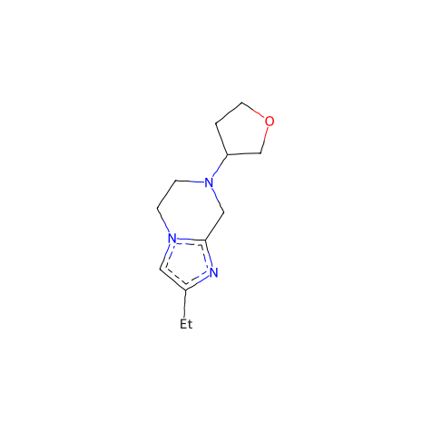 CCc1cn2c(n1)CN(C1CCOC1)CC2